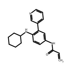 C=CC(=O)Nc1ccc(NC2CCCCC2)c(-c2cccnc2)c1